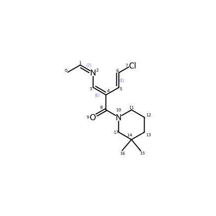 C\C=N/C=C(\C=C\Cl)C(=O)N1CCCC(C)(C)C1